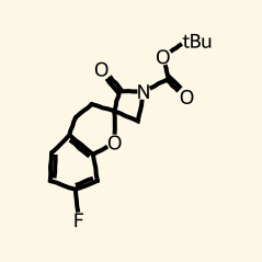 CC(C)(C)OC(=O)N1CC2(CCc3ccc(F)cc3O2)C1=O